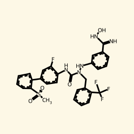 CS(=O)(=O)c1ccccc1-c1ccc(NC(=O)N(Cc2ccccc2C(F)(F)F)Nc2cccc(C(=N)NO)c2)c(F)c1